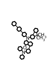 CC1(C)c2ccccc2-c2cc(N(c3ccc(-c4ccc(-c5ccccc5)cc4)cc3)c3ccc4c5c(cccc35)-c3cccc(N(c5ccccc5)c5ccccc5)c3O4)ccc21